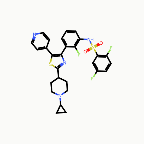 O=S(=O)(Nc1cccc(-c2nc(C3CCN(C4CC4)CC3)sc2-c2ccncc2)c1F)c1cc(F)ccc1F